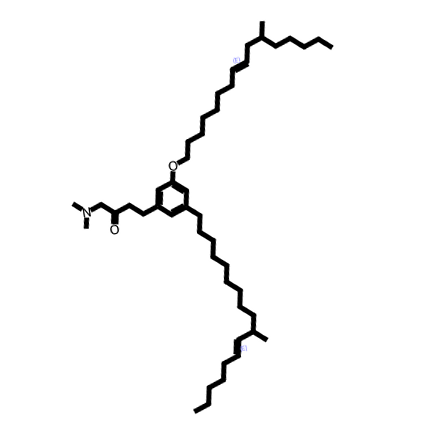 CCCCC/C=C/C(C)CCCCCCCCCc1cc(CCC(=O)CN(C)C)cc(OCCCCCCC/C=C/CC(C)CCCCC)c1